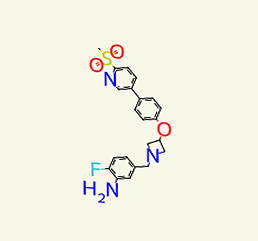 CS(=O)(=O)c1ccc(-c2ccc(OC3CN(Cc4ccc(F)c(N)c4)C3)cc2)cn1